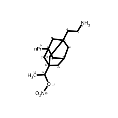 CCCC12CC3CC(CCN)(C1)CC(C(C)O[N+](=O)[O-])(C3)C2